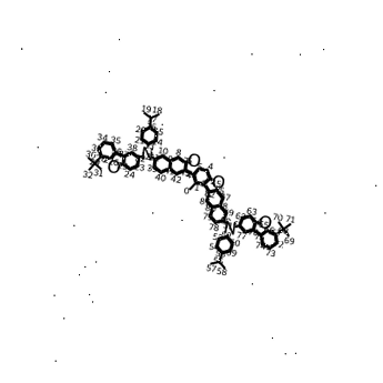 Cc1c2c(cc3oc4cc5cc(N(c6ccc(C(C)C)cc6)c6ccc7oc8c(C(C)(C)C)cccc8c7c6)ccc5cc4c13)oc1cc3cc(N(c4ccc(C(C)C)cc4)c4ccc5oc6c(C(C)(C)C)cccc6c5c4)ccc3cc12